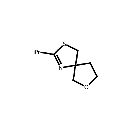 CC(C)C1=NC2(CCOC2)CS1